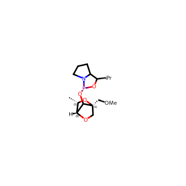 COC[C@]12CO[C@@H](C1OP1OC(C(C)C)C3CCCN31)[C@H](C)O2